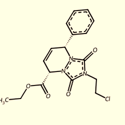 CCOC(=O)[C@@H]1C=C[C@H](c2ccccc2)n2c(=O)n(CCCl)c(=O)n21